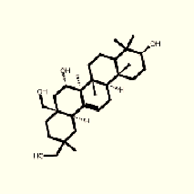 CC1(CO)CC[C@]2(CO)C[C@H](O)[C@]3(C)C(=CC[C@@H]4[C@@]5(C)CC[C@H](O)C(C)(C)C5CC[C@]43C)[C@H]2C1